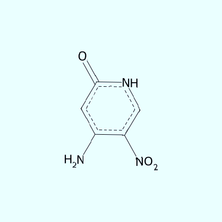 Nc1cc(=O)[nH]cc1[N+](=O)[O-]